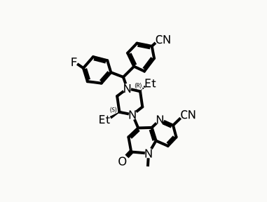 CC[C@H]1CN(C(c2ccc(F)cc2)c2ccc(C#N)cc2)[C@H](CC)CN1c1cc(=O)n(C)c2ccc(C#N)nc12